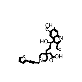 COc1ccc2ncc(CF)c([C@H](O)CCC3(CC(=O)O)CCN(CC#Cc4cccs4)CC3)c2c1